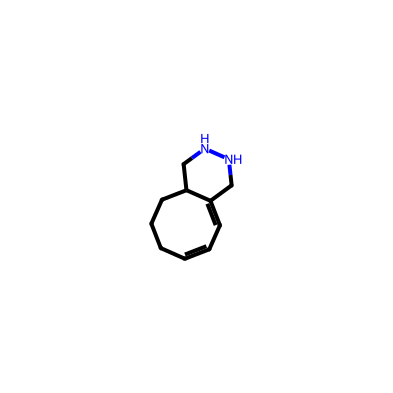 C1=CCCCC2CNNCC2=C1